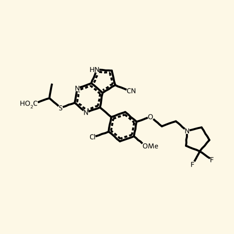 COc1cc(Cl)c(-c2nc(SC(C)C(=O)O)nc3[nH]cc(C#N)c23)cc1OCCN1CCC(F)(F)C1